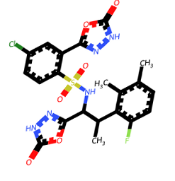 Cc1ccc(F)c(C(C)C(NS(=O)(=O)c2ccc(Cl)cc2-c2n[nH]c(=O)o2)c2n[nH]c(=O)o2)c1C